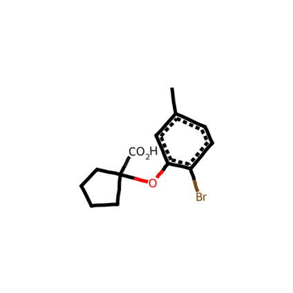 Cc1ccc(Br)c(OC2(C(=O)O)CCCC2)c1